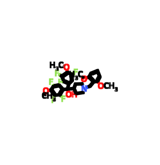 COc1cccc(OC)c1CN1CCC(C(O)(c2cc(F)c(OC)c(F)c2F)c2cc(F)c(OC)c(F)c2F)CC1